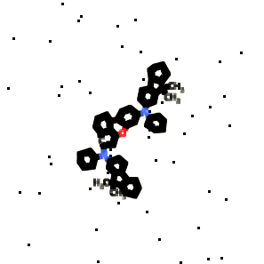 CC1(C)c2ccccc2-c2ccc(N(c3ccccc3)c3ccc4c(c3)Oc3cc(N(c5ccccc5)c5ccc6c(c5)C(C)(C)c5ccccc5-6)cc5cccc-4c35)cc21